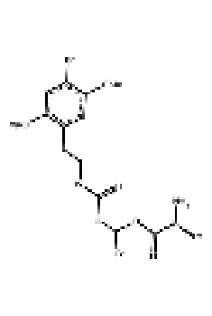 COc1cc(CCNC(=O)OC(OC(=O)[C@@H](N)C(C)C)C(C)C)c(OC)cc1Br